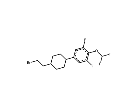 Fc1cc(C2CCC(CCBr)CC2)cc(F)c1OC(F)F